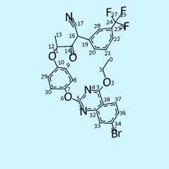 CCOc1nc(Oc2ccc(OC(C)C(=O)C(C#N)c3cccc(C(F)(F)F)c3)cc2)nc2cc(Br)ccc12